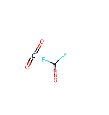 O=C(F)F.O=C=O